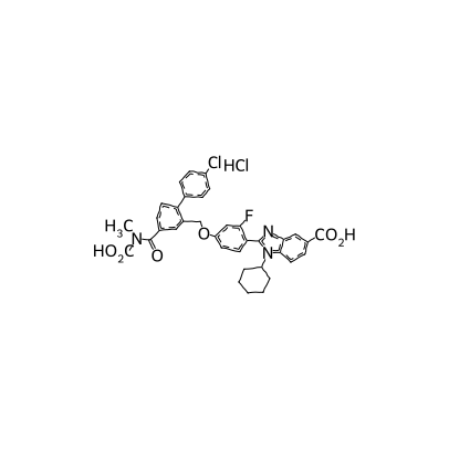 CN(C(=O)O)C(=O)c1ccc(-c2ccc(Cl)cc2)c(COc2ccc(-c3nc4cc(C(=O)O)ccc4n3C3CCCCC3)c(F)c2)c1.Cl